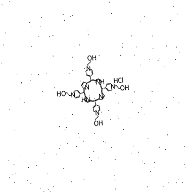 Cl.OCCN1C=CC(c2c3nc(c(C4=CCN(CCO)C=C4)c4ccc([nH]4)c(C4=CCN(CCO)C=C4)c4nc(c(C5=CCN(CCO)C=C5)c5ccc2[nH]5)C=C4)C=C3)=CC1